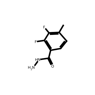 Cc1ccc(C(=O)NN)c(F)c1F